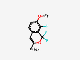 CCCCCCC1=Cc2ccc(OCC)c(F)c2C(F)(F)O1